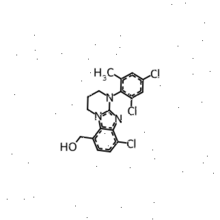 Cc1cc(Cl)cc(Cl)c1N1CCCn2c1nc1c(Cl)ccc(CO)c12